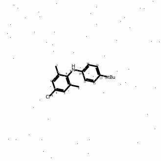 Cc1cc(Cl)cc(C)c1Nc1ccc(C(C)(C)C)cc1